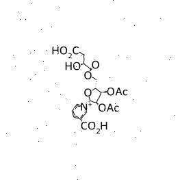 CC(=O)O[C@@H]1[C@H](OC(C)=O)[C@@H](COC(=O)[C@@H](O)CC(=O)O)O[C@H]1[n+]1cccc(C(=O)O)c1